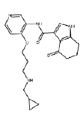 O=C(Nc1cnccc1OCCCNCC1CC1)c1c[nH]c2c1C(=O)CCC2